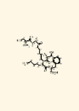 C[C@H](NC(=O)[C@@H](N)CS)C(=O)CCCCCN(C(=O)[C@@H](N)CS)[C@H](CCCCN)C(=O)N[C@@H](Cc1ccccc1)C(=O)O